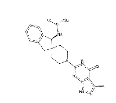 CC(C)(C)[S@@+]([O-])N[C@@H]1c2ccccc2CC12CCN(c1nc3[nH]nc(I)c3c(=O)[nH]1)CC2